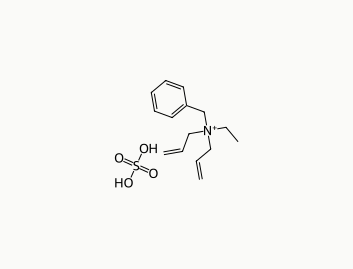 C=CC[N+](CC)(CC=C)Cc1ccccc1.O=S(=O)(O)O